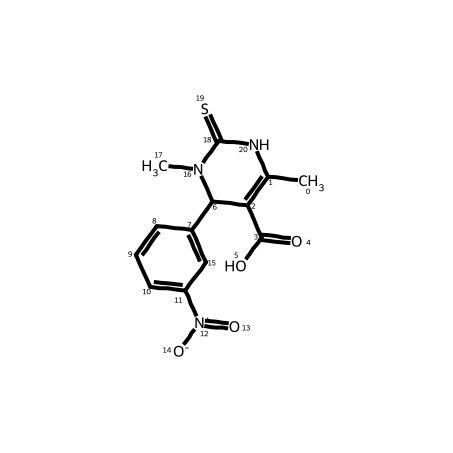 CC1=C(C(=O)O)C(c2cccc([N+](=O)[O-])c2)N(C)C(=S)N1